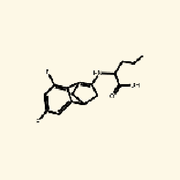 CCCC(NC1=C2CC(C1)c1cc(F)cc(F)c12)C(=O)O